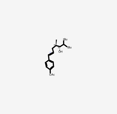 CC(=O)Oc1ccc(/C=C/C[C@@H](C)[C@@H](O)C(C(C)(C)C)C(C)(C)C)cc1